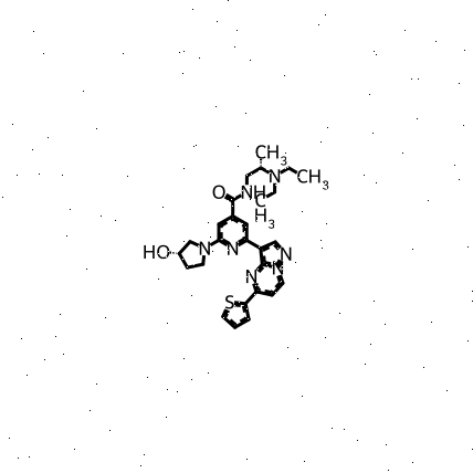 CCN(CC)[C@@H](C)CNC(=O)c1cc(-c2cnn3ccc(-c4cccs4)nc23)nc(N2CC[C@H](O)C2)c1